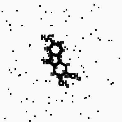 Cc1ncc2c3c([nH]c2n1)CN(C)[C@H](C)C3